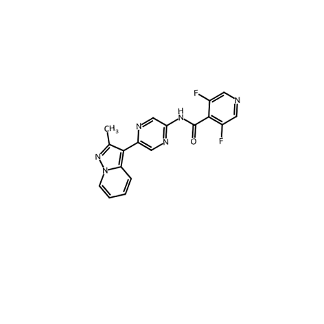 Cc1nn2ccccc2c1-c1cnc(NC(=O)c2c(F)cncc2F)cn1